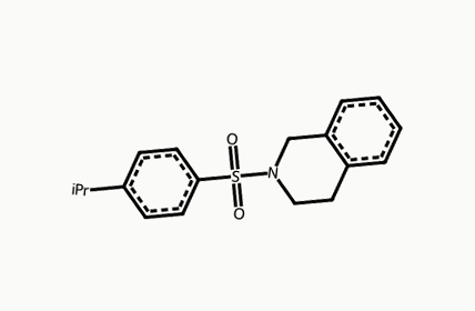 CC(C)c1ccc(S(=O)(=O)N2CCc3ccccc3C2)cc1